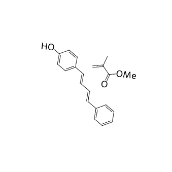 C=C(C)C(=O)OC.Oc1ccc(C=CC=Cc2ccccc2)cc1